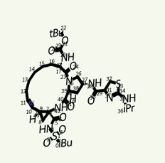 CCC(C)S(=O)(=O)NC(=O)[C@@]12C[C@H]1/C=C\CCCCC[C@H](NC(=O)OC(C)(C)C)C(=O)N1C[C@H](NC(=O)C3CSC(NC(C)C)=N3)C[C@H]1C(=O)N2